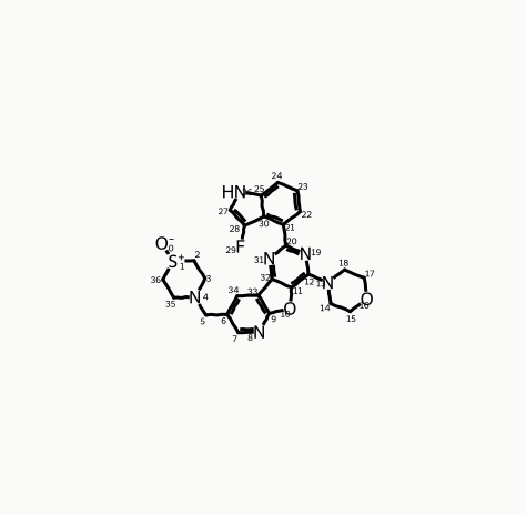 [O-][S+]1CCN(Cc2cnc3oc4c(N5CCOCC5)nc(-c5cccc6[nH]cc(F)c56)nc4c3c2)CC1